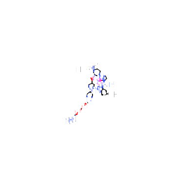 CC(C)N(C)[C@@H]1CC[C@H](N2CC[C@H](Nc3ncnc4ccc(C(F)(F)F)cc34)C2=O)[C@H](NC(=O)C2CCN(C3CCN(CCOCCOCCN=[N+]=[N-])CC3)CC2)C1